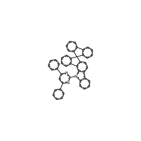 c1ccc(-c2cc(-c3ccccc3)nc(-n3c4ccccc4c4ccc5c(c43)-c3ccccc3C53c4ccccc4-c4ccccc43)n2)cc1